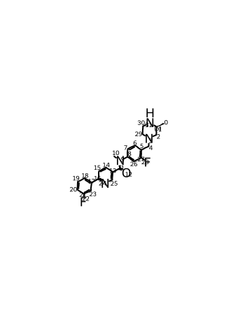 C[C@H]1CN(Cc2ccc(N(C)C(=O)c3ccc(-c4cccc(F)c4)nc3)cc2F)CCN1